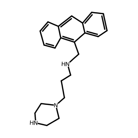 c1ccc2c(CNCCCN3CCNCC3)c3ccccc3cc2c1